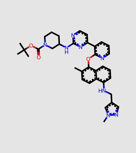 Cc1ccc2c(NCc3cnn(C)c3)cccc2c1Oc1ncccc1-c1ccnc(NC2CCCN(C(=O)OC(C)(C)C)C2)n1